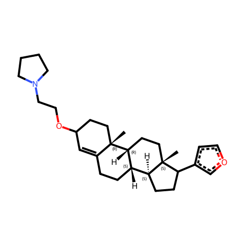 C[C@]12CCC(OCCN3CCCC3)C=C1CC[C@@H]1[C@H]2CC[C@]2(C)C(c3ccoc3)CC[C@@H]12